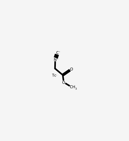 [C-]#[N+]CC(=O)OC.[Tc]